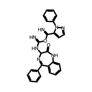 N=C(NC1N=C(c2ccccc2)c2ccccc2NC1=O)OC(=N)c1ccnn1-c1ccccc1